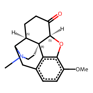 COc1ccc2c3c1O[C@@H]1C(=O)CC[C@@H]4C(C2)N(C)CC[C@@]314